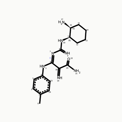 Cc1ccc(N/C(=N/C(=N)N[C@@H]2CCCC[C@@H]2N)C(=N)C(N)=O)cc1